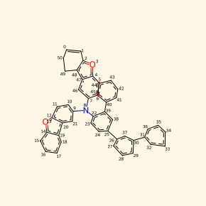 C1=Cc2oc3ccc(N(c4ccc5oc6ccccc6c5c4)c4ccc(-c5cccc(-c6ccccc6)c5)cc4-c4ccccc4)cc3c2CC1